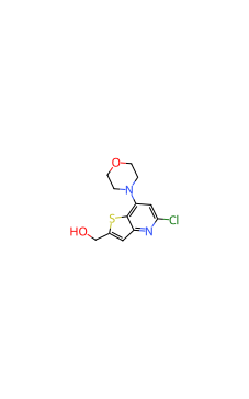 OCc1cc2nc(Cl)cc(N3CCOCC3)c2s1